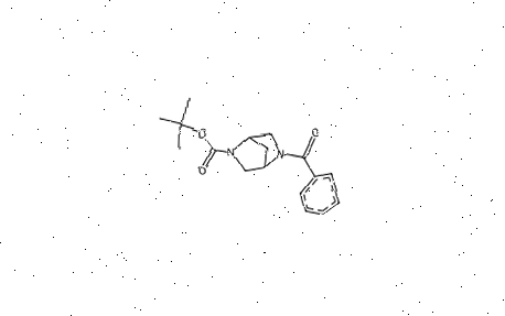 CC(C)(C)OC(=O)N1CC2CC1CN2C(=O)c1ccccc1